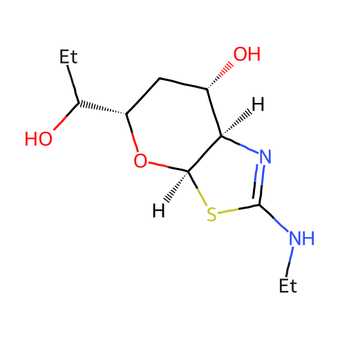 CCNC1=N[C@H]2[C@H](O[C@H](C(O)CC)C[C@@H]2O)S1